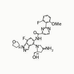 COc1cccc(F)c1-c1nccc(C(=O)Nc2cc(F)c3c(cnn3[C@@H]3CCOC3)c2N2C[C@@H](N)C[C@H]2CO)n1